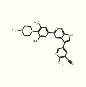 Cc1cc(-c2cc3c(-c4cnc(N)c(C#N)c4)c[nH]c3nn2)cc(C)c1N1CCN(C)CC1